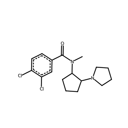 CN(C(=O)c1ccc(Cl)c(Cl)c1)C1CCCC1N1CCCC1